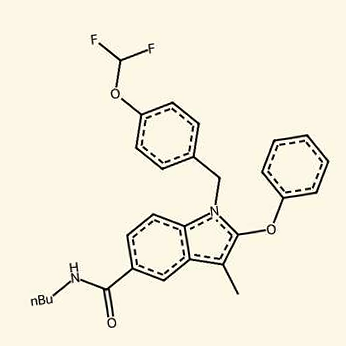 CCCCNC(=O)c1ccc2c(c1)c(C)c(Oc1ccccc1)n2Cc1ccc(OC(F)F)cc1